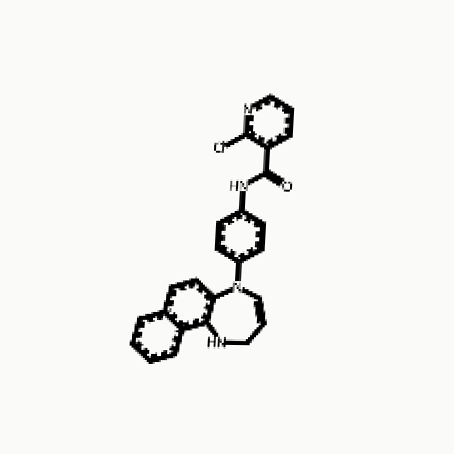 O=C(Nc1ccc(N2C=CCNc3c2ccc2ccccc32)cc1)c1cccnc1Cl